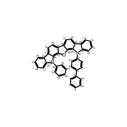 c1ccc(-c2ccc(-n3c4ccccc4c4ccc5c6ccc7c8ccccc8n(-c8ccccc8)c7c6oc5c43)cc2)cc1